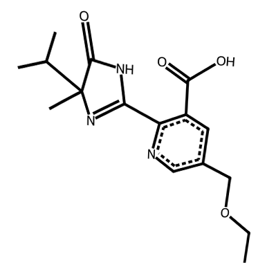 CCOCc1cnc(C2=NC(C)(C(C)C)C(=O)N2)c(C(=O)O)c1